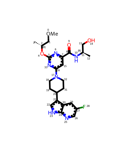 COC[C@@H](C)Oc1nc(C(=O)N[C@H](C)CO)cc(N2CCC(c3c[nH]c4ncc(F)cc34)CC2)n1